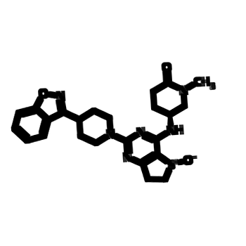 CN1C[C@@H](Nc2nc(N3CCC(c4noc5ccccc45)CC3)nc3c2[S+]([O-])CC3)CCC1=O